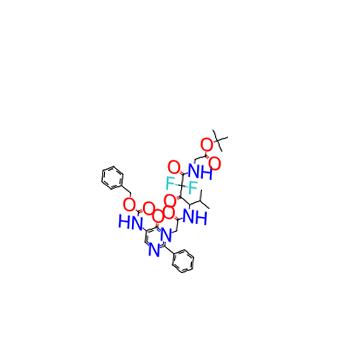 CC(C)C(NC(=O)Cn1c(-c2ccccc2)ncc(NC(=O)OCc2ccccc2)c1=O)C(=O)C(F)(F)C(=O)NCC(=O)OC(C)(C)C